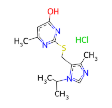 Cc1cc(O)nc(SCc2c(C)ncn2C(C)C)n1.Cl